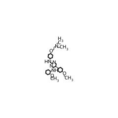 CCOc1ccc(-c2cnc(Nc3ccc(OCCN(CC)CC)cc3)nc2Nc2ccccc2OC)cc1